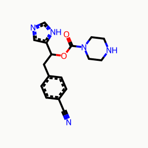 N#Cc1ccc(CC(OC(=O)N2CCNCC2)c2cnc[nH]2)cc1